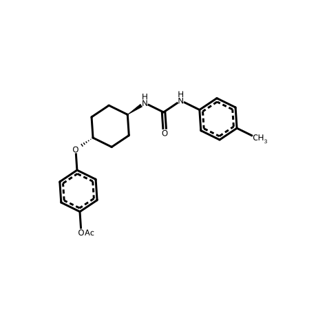 CC(=O)Oc1ccc(O[C@H]2CC[C@H](NC(=O)Nc3ccc(C)cc3)CC2)cc1